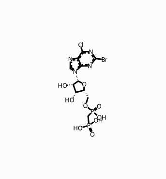 O=P(O)(O)CP(=O)(O)OC[C@H]1O[C@@H](n2cnc3c(Cl)nc(Br)nc32)[C@@H](O)[C@H]1O